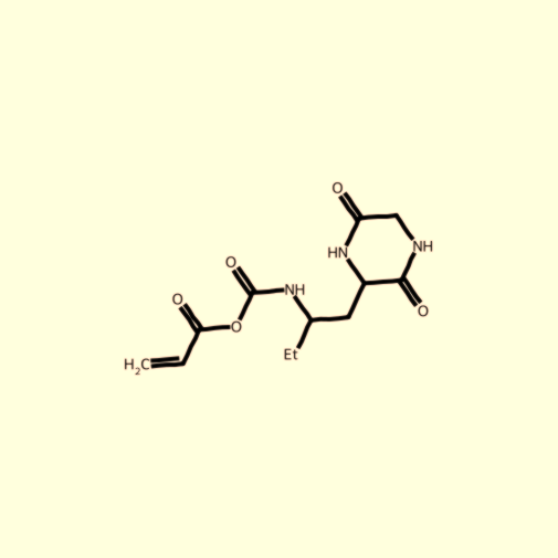 C=CC(=O)OC(=O)NC(CC)CC1NC(=O)CNC1=O